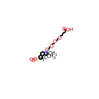 CC1=[N+](OCCOCCOCCOCCCCC(=O)O)c2ccc3cc(SOO[O-])ccc3c2C1(C)C